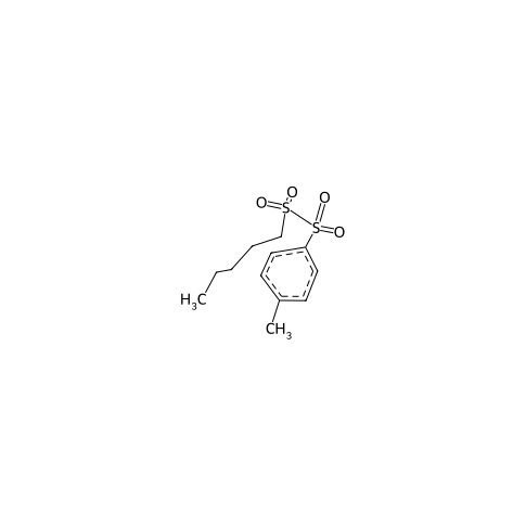 CCCCCS(=O)(=O)S(=O)(=O)c1ccc(C)cc1